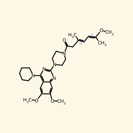 CO/C(C)=C/C=C(\C)CC(=O)N1CCN(c2nc(N3CCCCC3)c3cc(OC)c(OC)cc3n2)CC1